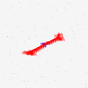 O=C(C[C@@H](NI)C(=O)NCCNC(=O)OCC(O)COCC(O)COCC(O)COCC(O)COCC(O)COCC(O)CN(C[C@H](O)[C@@H](O)[C@H](O)[C@H](O)CO)C[C@H](O)[C@@H](O)[C@H](O)[C@H](O)CO)NCC(O)COCC(O)COCC(O)COCC(O)COCC(O)COCC(O)COCCC(=O)N(C[C@H](O)[C@@H](O)[C@H](O)[C@H](O)CO)C[C@H](O)[C@@H](O)[C@H](O)[C@H](O)CO